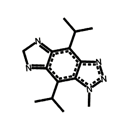 CC(C)c1c2c(c(C(C)C)c3c1nnn3C)=NCN=2